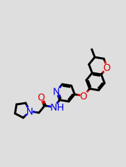 CC1COc2ccc(Oc3ccnc(NC(=O)CN4CCCC4)c3)cc2C1